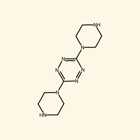 C1CN(c2nnc(N3CCNCC3)nn2)CCN1